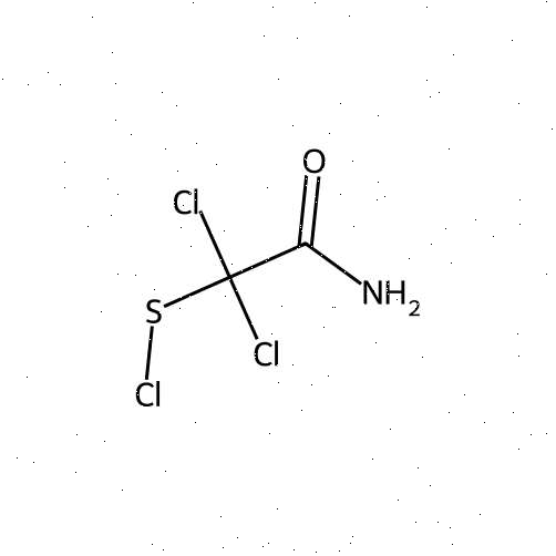 NC(=O)C(Cl)(Cl)SCl